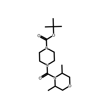 CC1COCC(C)N1C(=O)N1CCN(C(=O)OC(C)(C)C)CC1